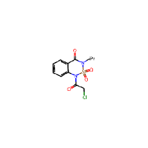 CC(C)N1C(=O)c2ccccc2N(C(=O)CCl)S1(=O)=O